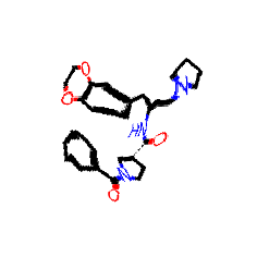 O=C(NC(Cc1ccc2c(c1)OCCO2)CN1CCCC1)[C@@H]1CCN(C(=O)c2ccccc2)C1